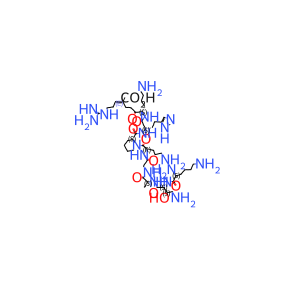 C[C@H](NC(=O)[C@@H](NC(=O)[C@@H](N)CCCCN)[C@@H](O)CN)C(=O)NCC(=O)N[C@H](CCCN)C(=O)N1CCCC[C@H]1C(=O)N[C@@H](CCc1cnc[nH]1)C(=O)N[C@@H](CCCCN)C(=O)CC/C(=C\CCNC(=N)N)C(=O)O